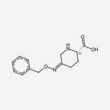 O=C(O)[C@@H]1CCC(=NOCc2ccccc2)CN1